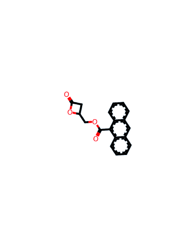 O=C1CC(COC(=O)c2c3ccccc3cc3ccccc23)O1